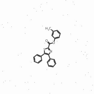 Cc1cccc(OC(=O)c2nc(-c3ccccc3)c(-c3ccccc3)s2)c1